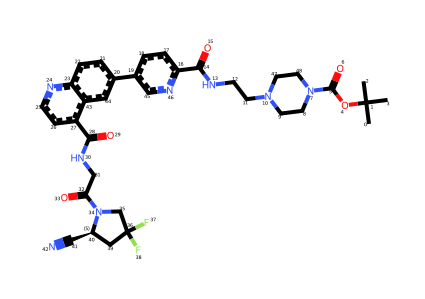 CC(C)(C)OC(=O)N1CCN(CCNC(=O)c2ccc(-c3ccc4nccc(C(=O)NCC(=O)N5CC(F)(F)C[C@H]5C#N)c4c3)cn2)CC1